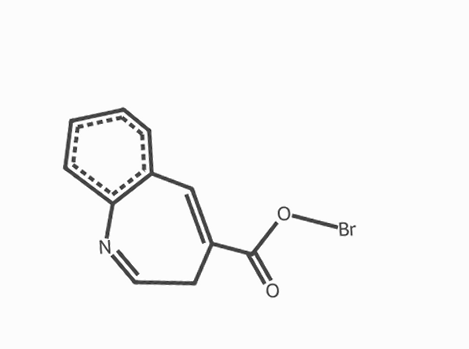 O=C(OBr)C1=Cc2ccccc2N=CC1